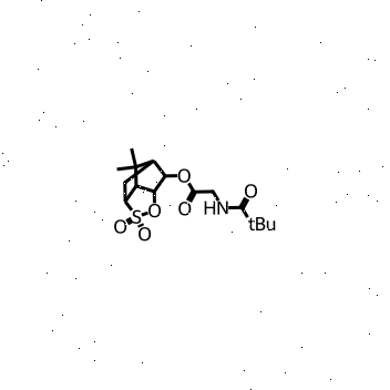 CC(C)(C)C(=O)NCC(=O)OC1C2OS(=O)(=O)C3CC1C(C)(C)C23